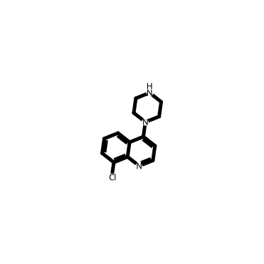 Clc1cccc2c(N3CCNCC3)ccnc12